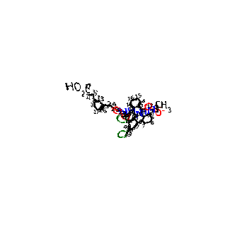 C[S+]([O-])N[C@H]1CCCCC1N1C(=O)c2ccccc2[C@@H](C(=O)NOCc2cccc(CCC(=O)O)c2)[C@@H]1c1ccc(Cl)cc1Cl